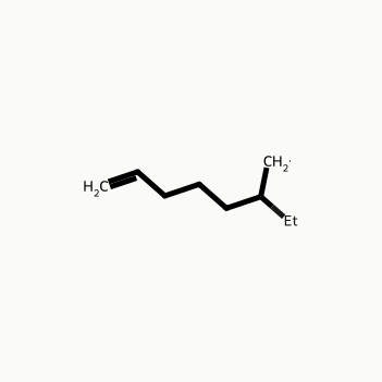 [CH2]C(CC)CCCC=C